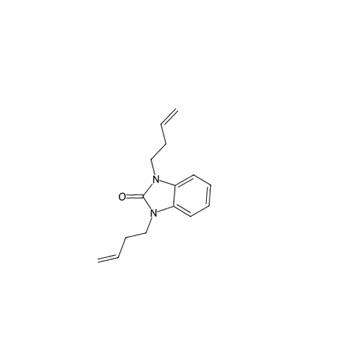 C=CCCn1c(=O)n(CCC=C)c2ccccc21